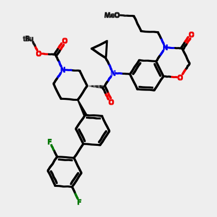 COCCCN1C(=O)COc2ccc(N(C(=O)[C@H]3CN(C(=O)OC(C)(C)C)CC[C@@H]3c3cccc(-c4cc(F)ccc4F)c3)C3CC3)cc21